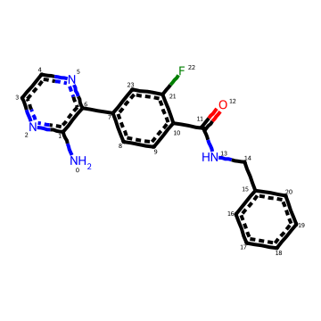 Nc1nccnc1-c1ccc(C(=O)NCc2ccccc2)c(F)c1